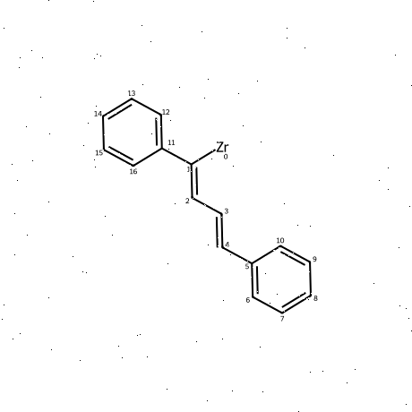 [Zr][C](=CC=Cc1ccccc1)c1ccccc1